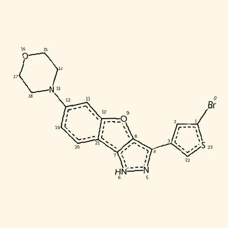 Brc1cc(-c2n[nH]c3c2oc2cc(N4CCOCC4)ccc23)cs1